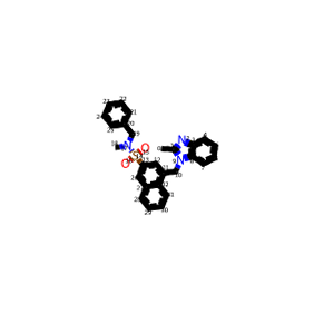 Cc1nc2ccccc2n1Cc1cc(S(=O)(=O)N(C)Cc2ccccc2)cc2ccccc12